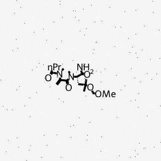 C=C(C(=O)N(C)[C@@H](CC(C)(C)OCOC)C(N)=O)N(C)C(=O)CCC